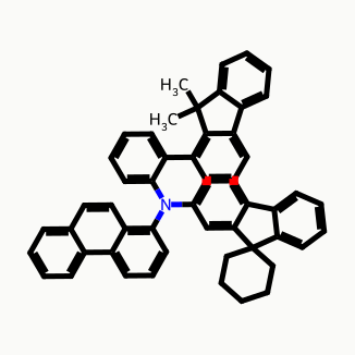 CC1(C)c2ccccc2-c2cccc(-c3ccccc3N(c3ccc4c(c3)C3(CCCCC3)c3ccccc3-4)c3cccc4c3ccc3ccccc34)c21